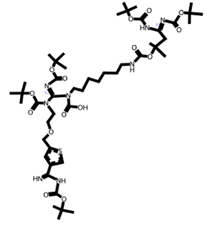 CC(C)(C)OC(=O)/N=C(\CC(C)(C)OC(=O)NCCCCCCCN(C(=O)O)/C(=N\C(=O)OC(C)(C)C)N(CCOCc1cc(C(=N)NC(=O)OC(C)(C)C)cs1)C(=O)OC(C)(C)C)NC(=O)OC(C)(C)C